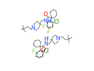 CC(C)(C)CCN1CCC(F)(CNC(=O)C2(c3c(F)cccc3Cl)CCCCC2)CC1.CC(C)(C)CCN1CCC(F)(CNC(=O)C2(c3ccc(F)cc3Cl)CCCCC2)CC1